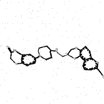 Cc1ccc2c3c(ccc2n1)OC[C@H](CNC1CCN(c2ccc4c(c2)NC(=O)CO4)CC1)O3